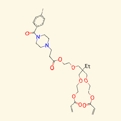 C=CC(=O)OCCOCC(CC)(COCCOC(=O)C=C)COCCOC(=O)CCN1CCN(C(=O)c2ccc(C)cc2)CC1